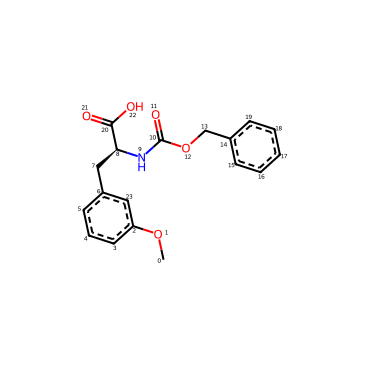 COc1cccc(C[C@H](NC(=O)OCc2ccccc2)C(=O)O)c1